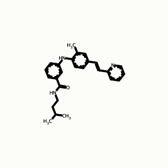 Cc1cc(C=Cc2ccccn2)ccc1Nc1cccc(C(=O)NCCC(C)C)c1